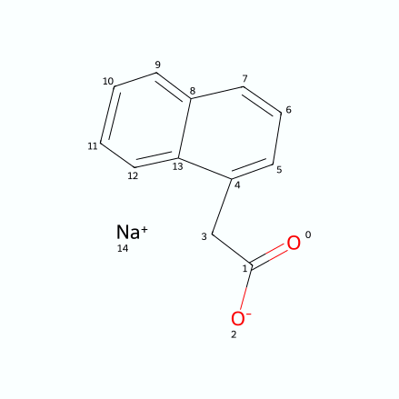 O=C([O-])Cc1cccc2ccccc12.[Na+]